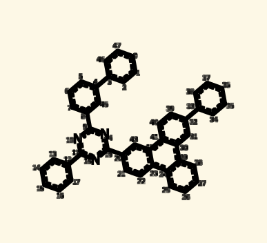 c1ccc(-c2cccc(-c3nc(-c4ccccc4)nc(-c4ccc5c6ccccc6c6cc(-c7ccccc7)ccc6c5c4)n3)c2)cc1